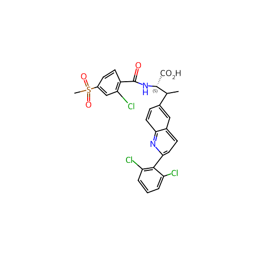 CC(c1ccc2nc(-c3c(Cl)cccc3Cl)ccc2c1)[C@H](NC(=O)c1ccc(S(C)(=O)=O)cc1Cl)C(=O)O